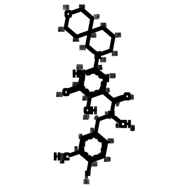 Cc1cc(CN(C)C(=O)c2nc(N3CCCC4(CCOCC4)C3)[nH]c(=O)c2O)ccc1F